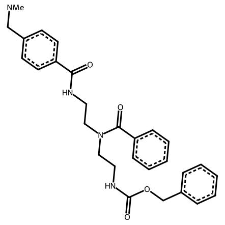 CNCc1ccc(C(=O)NCCN(CCNC(=O)OCc2ccccc2)C(=O)c2ccccc2)cc1